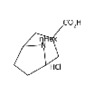 CCCCCCN1C2CCC1CC(C(=O)O)C2.Cl